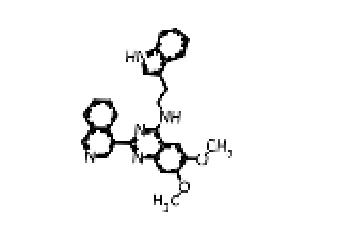 COc1cc2nc(-c3cncc4ccccc34)nc(NCCc3c[nH]c4ccccc34)c2cc1OC